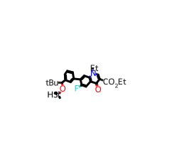 CCOC(=O)c1cn(CC)c2cc(-c3cccc(C(O[SiH](C)C)C(C)(C)C)c3)c(F)cc2c1=O